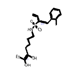 C=C/C(=C\c1ccccc1C)S(=O)(=O)NCCCC/C(O)=C(/O)CC